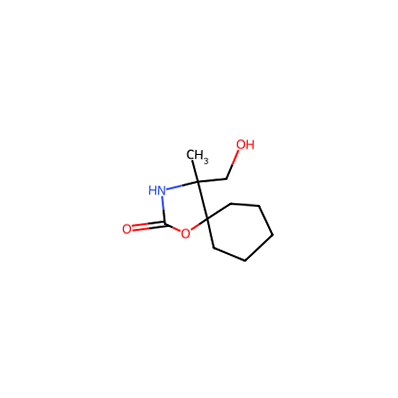 CC1(CO)NC(=O)OC12CCCCC2